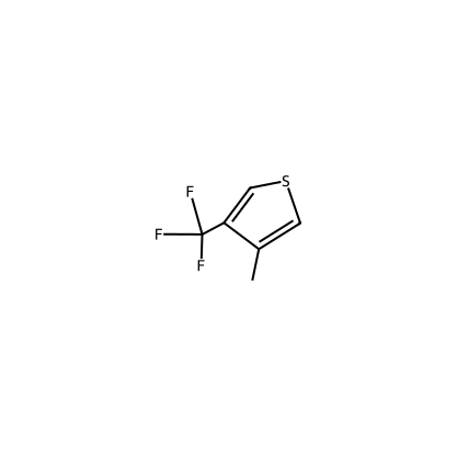 Cc1cscc1C(F)(F)F